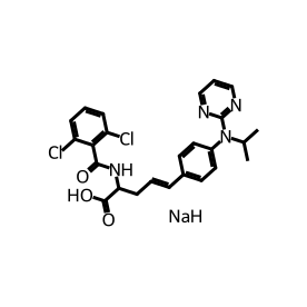 CC(C)N(c1ccc(C=CCC(NC(=O)c2c(Cl)cccc2Cl)C(=O)O)cc1)c1ncccn1.[NaH]